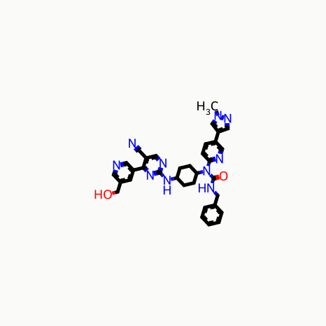 Cn1cc(-c2ccc(N(C(=O)NCc3ccccc3)C3CCC(Nc4ncc(C#N)c(-c5cncc(CO)c5)n4)CC3)nc2)cn1